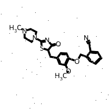 COc1cc(CC2SC(N3CCN(C)CC3)=NC2=O)ccc1OCc1ccccc1C#N